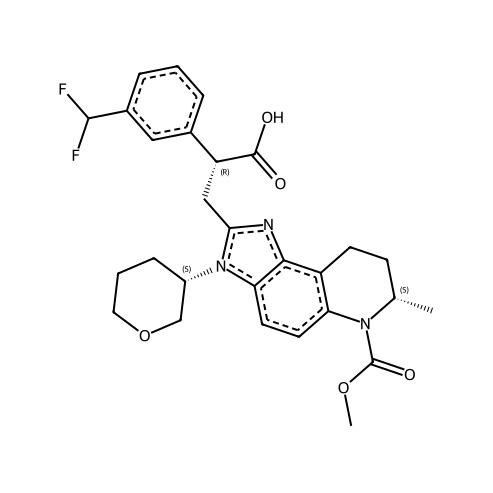 COC(=O)N1c2ccc3c(nc(C[C@@H](C(=O)O)c4cccc(C(F)F)c4)n3[C@H]3CCCOC3)c2CC[C@@H]1C